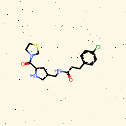 O=C(CCc1ccc(Cl)cc1)NCC1CNC(C(=O)N2CCSC2)C1